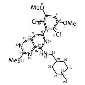 COc1cc(OC)c(Cl)c(-c2cc3cnc(SC)nc3c(NCC3CCN(C)CC3)n2)c1Cl